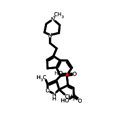 CC1=C(c2cccc3c2CC=C3CCN2CCN(C)CC2)C(C)(C(=CC(=O)O)C(=O)O)NO1